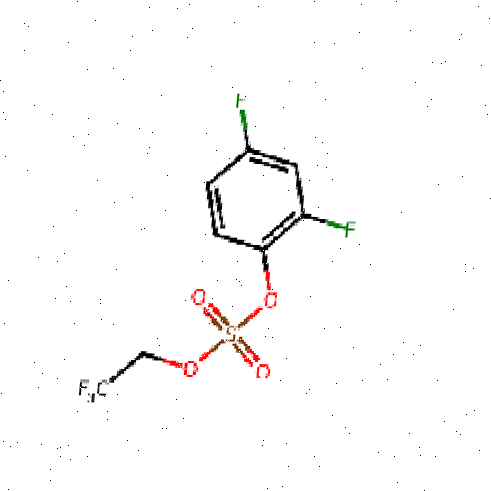 O=S(=O)(OCC(F)(F)F)Oc1ccc(F)cc1F